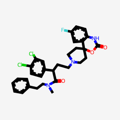 CN(CCc1ccccc1)C(=O)C(CCN1CCC2(CC1)OC(=O)Nc1ccc(F)cc12)c1ccc(Cl)c(Cl)c1